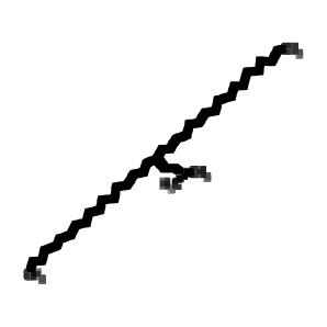 CCCCCCCCCCCCCCCCCCC(=CCN(C)C)CCCCCCCCCCCCCCCCCC